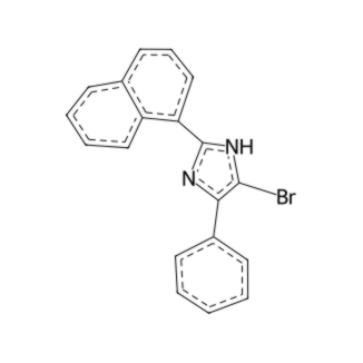 Brc1[nH]c(-c2cccc3ccccc23)nc1-c1ccccc1